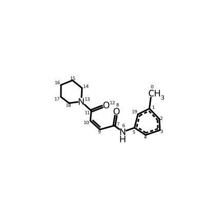 Cc1cccc(NC(=O)/C=C\C(=O)N2CCCCC2)c1